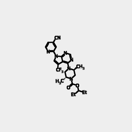 CCC(CC)OC(=O)N1C[C@H](C)N(c2ncnc3c2c(C(F)(F)F)cn3-c2cc(C#N)ccn2)C[C@H]1C